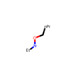 CCCCO[N]CC